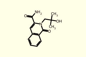 CC(C)(O)Cn1c(C(N)=O)cc2[c]cccc2c1=O